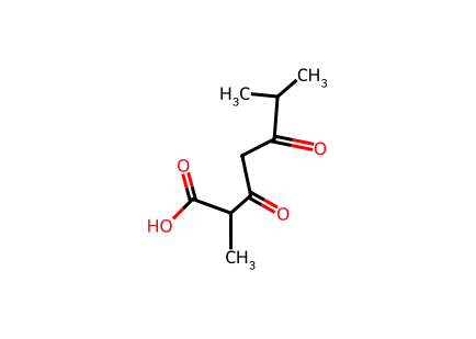 CC(C)C(=O)CC(=O)C(C)C(=O)O